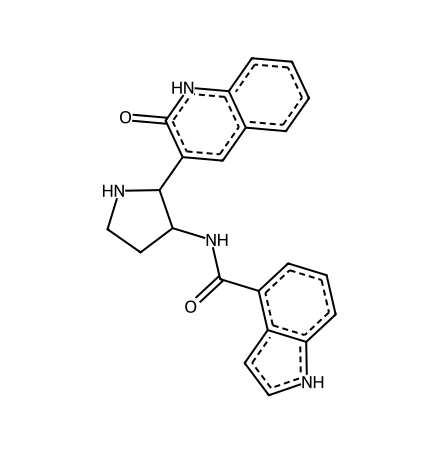 O=C(NC1CCNC1c1cc2ccccc2[nH]c1=O)c1cccc2[nH]ccc12